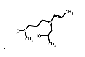 CC=CN(CCCN(C)C)CC(C)O